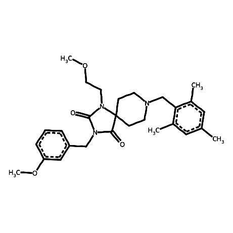 COCCN1C(=O)N(Cc2cccc(OC)c2)C(=O)C12CCN(Cc1c(C)cc(C)cc1C)CC2